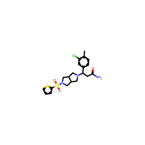 Cc1ccc(C(CC(N)=O)N2CC3CN(S(=O)(=O)c4cccs4)CC3C2)cc1Cl